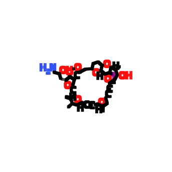 C=C1CC2CC[C@@]3(C)C[C@@H](O)C(C)[C@@H]4OC5CCC(CC(=O)CC6C(C[C@H]7O[C@@H](CC[C@@H]1O2)C[C@@H](C)C7=C)O[C@H](CC(O)CN)[C@@H]6OC)O[C@@H]5C(O3)C4I